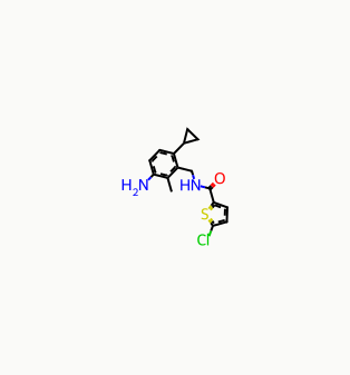 Cc1c(N)ccc(C2CC2)c1CNC(=O)c1ccc(Cl)s1